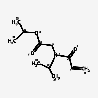 C=CC(=O)N(CC(=O)OC(C)C)C(C)C